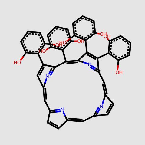 Oc1cccc(O)c1C1=CC2=CC3=NC(=CC4=NC(=CC5=NC(=C(c6c(O)cccc6O)C1=N2)C(c1c(O)cccc1O)=C5c1c(O)cccc1O)C=C4)C=C3